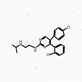 CC(C)NCCNc1ncc(-c2ccc(Cl)cc2)c(-c2ccccc2Cl)n1